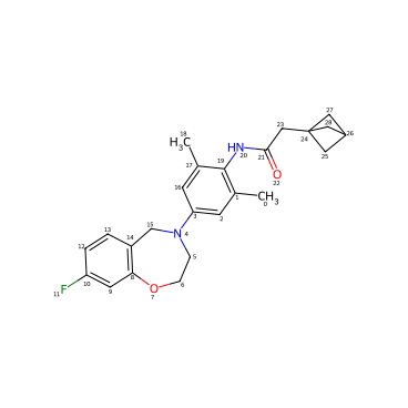 Cc1cc(N2CCOc3cc(F)ccc3C2)cc(C)c1NC(=O)CC12CC(C1)C2